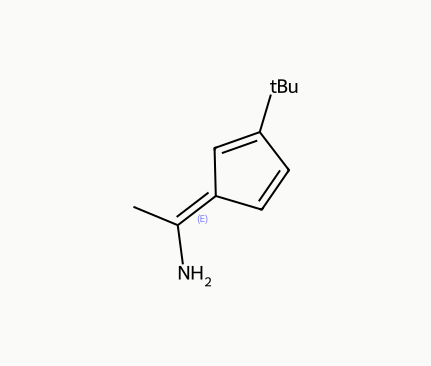 C/C(N)=C1/C=CC(C(C)(C)C)=C1